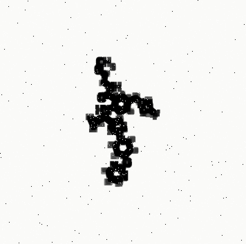 COCCNC(=O)c1cc(CN2CC(F)C2)ccc1NC(=C1CC1)c1csc(N2CCC(Oc3ncccn3)CC2)n1